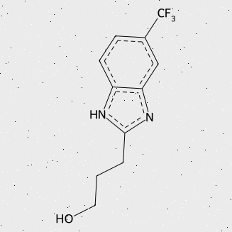 OCCCc1nc2cc(C(F)(F)F)ccc2[nH]1